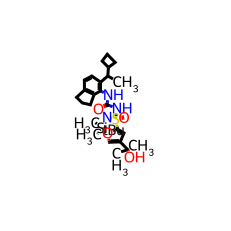 CC(c1ccc2c(c1NC(=O)NS(=O)(=N[Si](C)(C)C(C)(C)C)c1cc(C(C)(C)O)co1)CCC2)C1CCC1